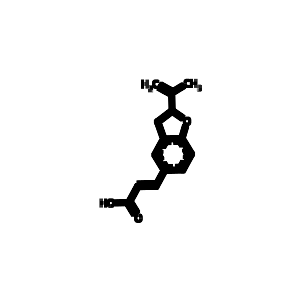 C=C(C)C1Cc2cc(C=CC(=O)O)ccc2O1